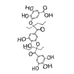 CCCC(CC)(Oc1cc(C(=O)O)cc(O)c1O)C(=O)c1cc(O)c(O)c(OC(CC)(CCC)C(=O)c2cc(O)c(O)c(O)c2)c1